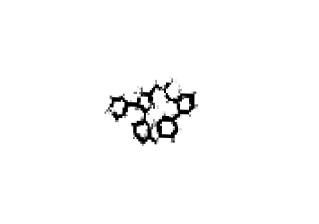 BN(Cc1nc(-c2cccc(C)n2)c(-c2ccncc2)[nH]1)Cc1ccccc1-c1ccccc1